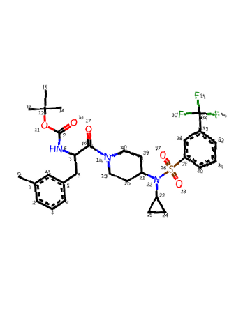 Cc1cccc(CC(NC(=O)OC(C)(C)C)C(=O)N2CCC(N(C3CC3)S(=O)(=O)c3cccc(C(F)(F)F)c3)CC2)c1